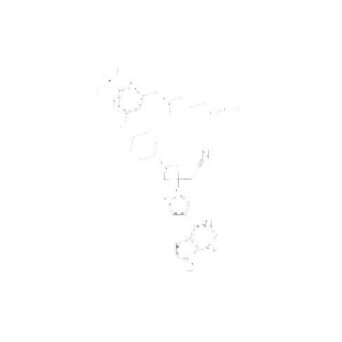 COCCCNCc1cc(O[C@H]2CC[C@@H](N3CC(CC#N)(n4cc(-c5ncnc6[nH]ccc56)cn4)C3)CC2)nc(C(F)(F)F)n1